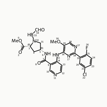 COC(=O)[C@H]1C[C@@H](NC(=O)c2cnccc2Nc2nc(-c3cc(Cl)ccc3F)ncc2OC)CN1BC=O